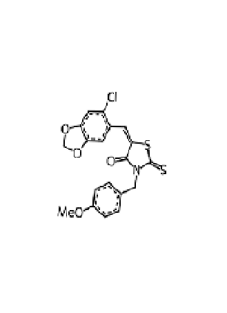 COc1ccc(CN2C(=O)C(=Cc3cc4c(cc3Cl)OCO4)SC2=S)cc1